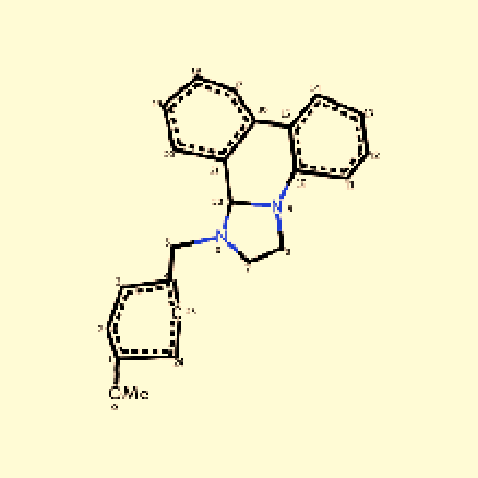 COc1ccc(CN2CCN3c4ccccc4-c4ccccc4C23)cc1